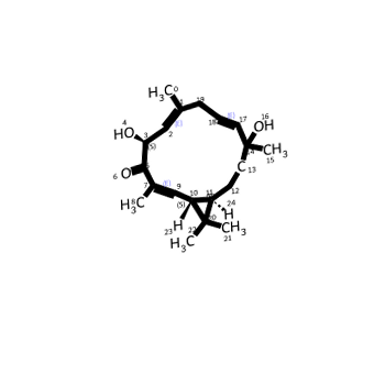 C/C1=C\[C@H](O)C(=O)/C(C)=C/[C@@H]2[C@@H](CCC(C)(O)/C=C/C1)C2(C)C